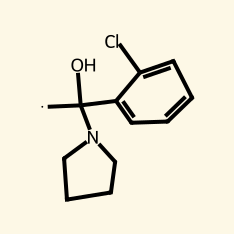 [CH2]C(O)(c1ccccc1Cl)N1CCCC1